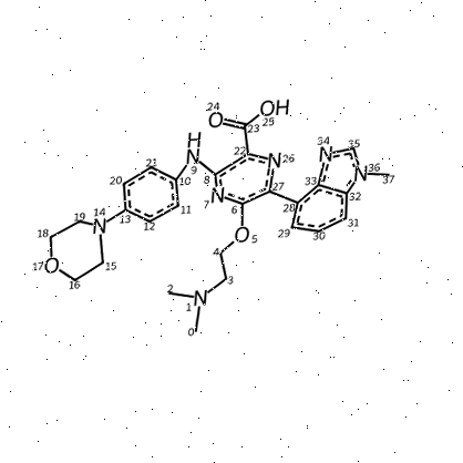 CN(C)CCOc1nc(Nc2ccc(N3CCOCC3)cc2)c(C(=O)O)nc1-c1cccc2c1ncn2C